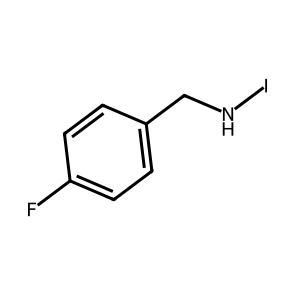 Fc1ccc(CNI)cc1